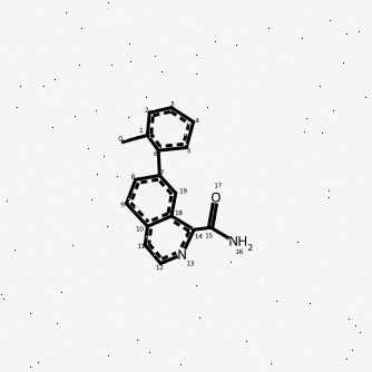 Cc1ccccc1-c1ccc2c[c]nc(C(N)=O)c2c1